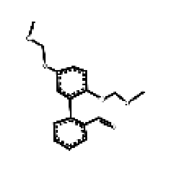 COCOc1ccc(OCOC)c(-c2ccccc2C=O)c1